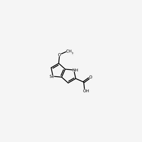 COc1c[se]c2cc(C(=O)O)[nH]c12